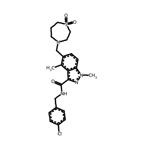 Cc1c(CN2CCCS(=O)(=O)CC2)ccc2c1c(C(=O)NCc1ccc(Cl)cc1)nn2C